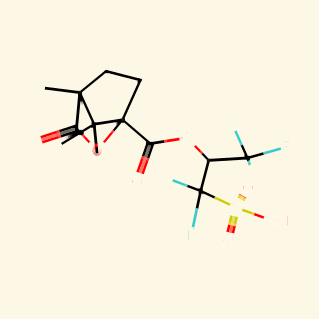 CC12CCC(C(=O)OC(C(F)(F)F)C(F)(F)S(=O)(=O)O)(OC1=O)C2(C)C